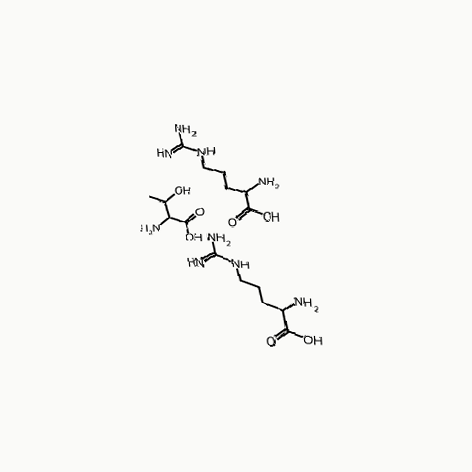 CC(O)C(N)C(=O)O.N=C(N)NCCCC(N)C(=O)O.N=C(N)NCCCC(N)C(=O)O